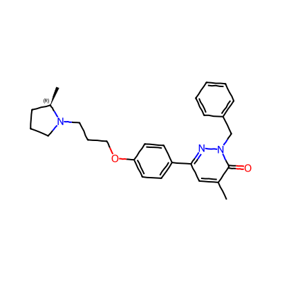 Cc1cc(-c2ccc(OCCCN3CCC[C@H]3C)cc2)nn(Cc2ccccc2)c1=O